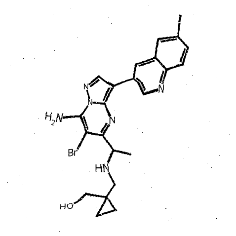 Cc1ccc2ncc(-c3cnn4c(N)c(Br)c(C(C)NCC5(CO)CC5)nc34)cc2c1